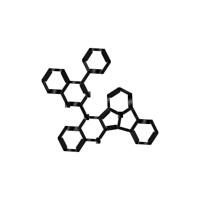 c1ccc(-c2nc(N3c4ccccc4Sc4c3c3cccc5c6ccccc6c4n35)nc3ccccc23)cc1